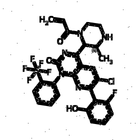 C=CC(=O)N1CCN[C@@H](C)C1c1nc(=O)n(-c2ccccc2S(F)(F)(F)(F)F)c2nc(-c3c(O)cccc3F)c(Cl)cc12